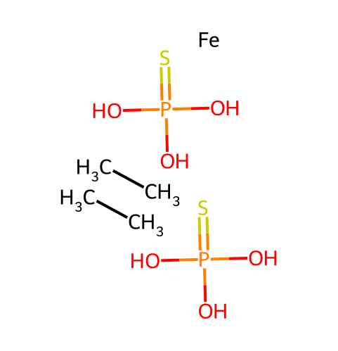 CC.CC.OP(O)(O)=S.OP(O)(O)=S.[Fe]